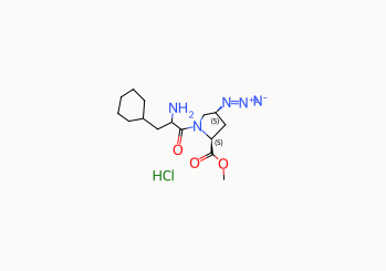 COC(=O)[C@@H]1C[C@H](N=[N+]=[N-])CN1C(=O)C(N)CC1CCCCC1.Cl